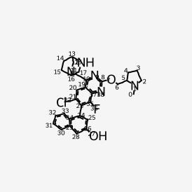 CN1CCCC1COc1nc(N2CC3CCC2CN3)c2cc(Cl)c(-c3cc(O)cc4ccccc34)c(F)c2n1